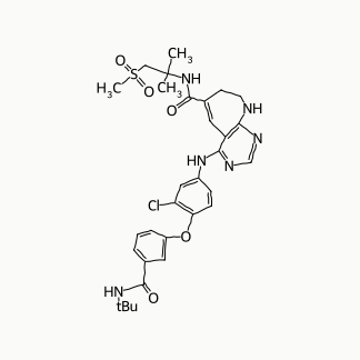 CC(C)(C)NC(=O)c1cccc(Oc2ccc(Nc3ncnc4c3C=C(C(=O)NC(C)(C)CS(C)(=O)=O)CCN4)cc2Cl)c1